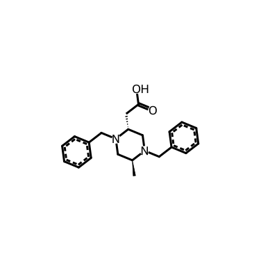 C[C@H]1CN(Cc2ccccc2)[C@H](CC(=O)O)CN1Cc1ccccc1